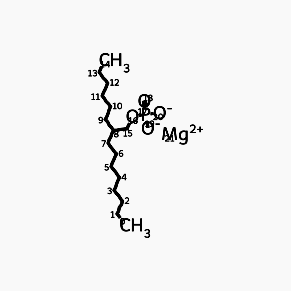 CCCCCCCCC(CCCCCC)COP(=O)([O-])[O-].[Mg+2]